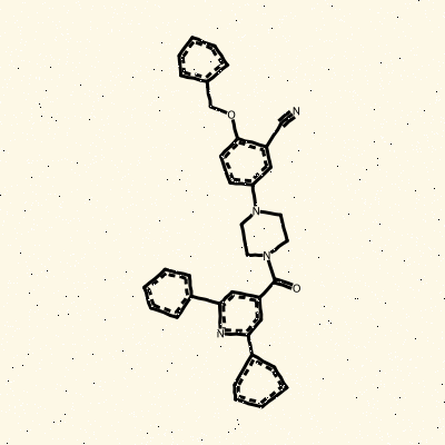 N#Cc1cc(N2CCN(C(=O)c3cc(-c4ccccc4)nc(-c4ccccc4)c3)CC2)ccc1OCc1ccccc1